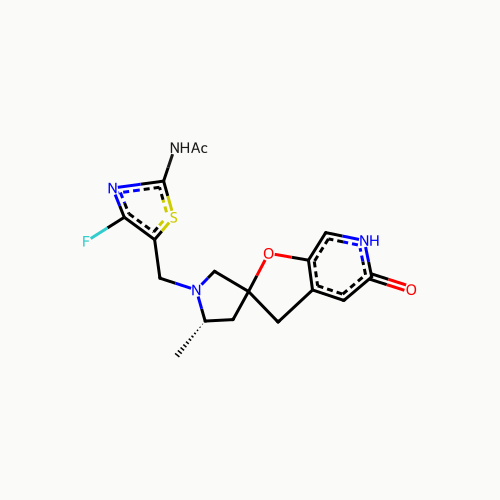 CC(=O)Nc1nc(F)c(CN2CC3(Cc4cc(=O)[nH]cc4O3)C[C@@H]2C)s1